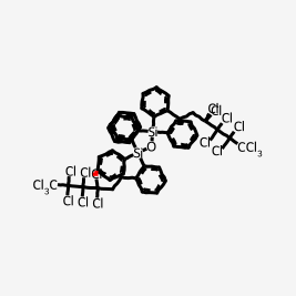 ClC(Cl)(Cl)C(Cl)(Cl)C(Cl)(Cl)C(Cl)(Cl)CCc1ccccc1[Si](O[Si](c1ccccc1)(c1ccccc1)c1ccccc1CCC(Cl)(Cl)C(Cl)(Cl)C(Cl)(Cl)C(Cl)(Cl)Cl)(c1ccccc1)c1ccccc1